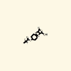 CC(F)(F)C(=O)OC1CCC2(CC1)SC1C(=O)OC(O)C1S2